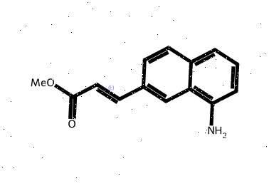 COC(=O)/C=C/c1ccc2cccc(N)c2c1